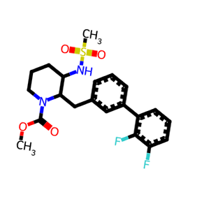 COC(=O)N1CCCC(NS(C)(=O)=O)C1Cc1cccc(-c2cccc(F)c2F)c1